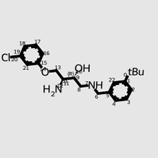 CC(C)(C)c1cccc(CNC[C@@H](O)[C@@H](N)COc2cccc(Cl)c2)c1